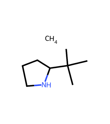 C.CC(C)(C)C1CCCN1